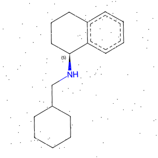 c1ccc2c(c1)CCC[C@@H]2NCC1CCCCC1